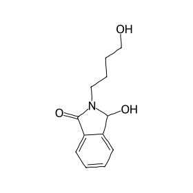 O=C1c2ccccc2C(O)N1CCCCO